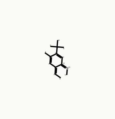 C/C=C1/C=C(C)C(C(C)(C)C)=C/C1=N/C